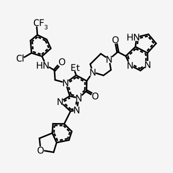 CCc1c(N2CCN(C(=O)c3ncnc4cc[nH]c34)CC2)c(=O)n2nc(-c3ccc4c(c3)COC4)nc2n1CC(=O)Nc1ccc(C(F)(F)F)cc1Cl